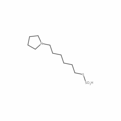 O=S(=O)(O)SCCCCCCN1CCCC1